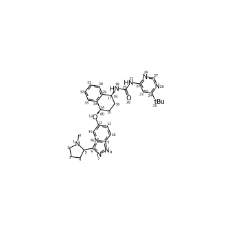 CN1CCCC1c1nnc2ccc(O[C@@H]3CC[C@H](NC(=O)Nc4cc(C(C)(C)C)ncn4)c4ccccc43)cn12